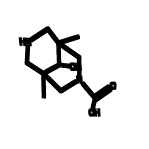 CC12CNCC(C)(CN(C(=O)O)C1)C2O